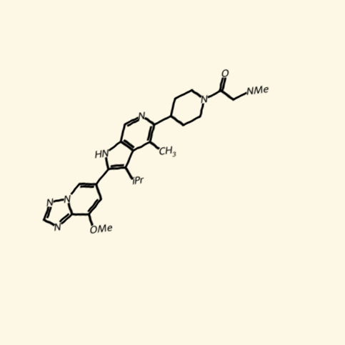 CNCC(=O)N1CCC(c2ncc3[nH]c(-c4cc(OC)c5ncnn5c4)c(C(C)C)c3c2C)CC1